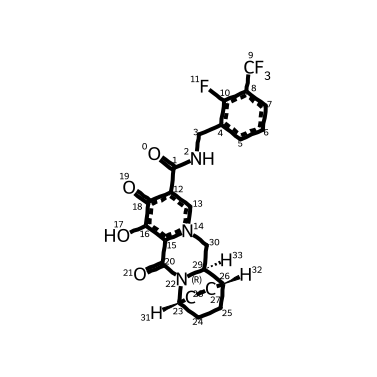 O=C(NCc1cccc(C(F)(F)F)c1F)c1cn2c(c(O)c1=O)C(=O)N1[C@H]3CC[C@H](CC3)[C@@H]1C2